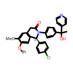 COc1cc2c(cc1OC(C)C)[C@H](c1ccc(Cl)cc1)N(c1ccc(C(C)(O)c3ccncc3)cc1)C(=O)C2